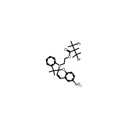 CC(C)C(C)(C)C(C)(C(=O)OCCN1c2ccccc2C(C)(C)C12C=Cc1cc([N+](=O)[O-])ccc1O2)C(C)(C)Br